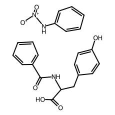 O=C(NC(Cc1ccc(O)cc1)C(=O)O)c1ccccc1.O=[N+]([O-])Nc1ccccc1